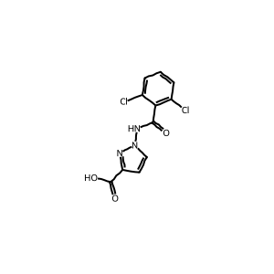 O=C(O)c1ccn(NC(=O)c2c(Cl)cccc2Cl)n1